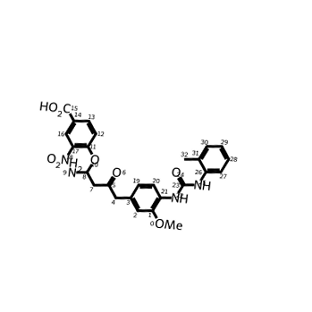 COc1cc(CC(=O)CC(N)Oc2ccc(C(=O)O)cc2[N+](=O)[O-])ccc1NC(=O)Nc1ccccc1C